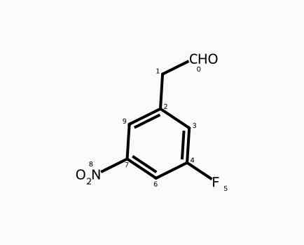 O=CCc1cc(F)cc([N+](=O)[O-])c1